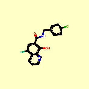 O=C(NCc1ccc(Cl)cc1)c1cc(F)c2cccnc2c1O